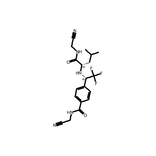 CC(C)C[C@H](N[C@@H](c1ccc(C(=O)NCC#N)cc1)C(F)(F)F)C(=O)NCC#N